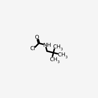 CC(C)(C)CNC(=O)Cl